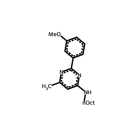 CCCCCCCCNc1cc(C)nc(-c2cccc(OC)c2)n1